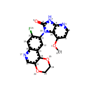 CCOc1ccnc2[nH]c(=O)n(-c3cc4c5c(cnc4cc3F)OCCO5)c12